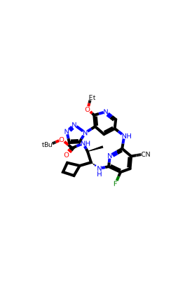 CCOc1ncc(Nc2nc(N[C@H](C3CCC3)[C@H](C)NC(=O)OC(C)(C)C)c(F)cc2C#N)cc1-n1ccnn1